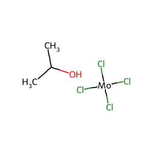 CC(C)O.[Cl][Mo]([Cl])([Cl])[Cl]